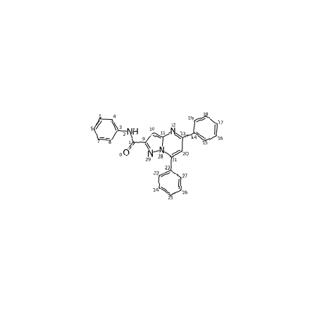 O=C(Nc1ccccc1)c1cc2nc(-c3ccccc3)cc(-c3ccccc3)n2n1